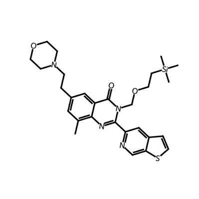 Cc1cc(CCN2CCOCC2)cc2c(=O)n(COCC[Si](C)(C)C)c(-c3cc4ccsc4cn3)nc12